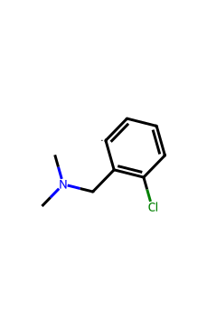 CN(C)Cc1[c]cccc1Cl